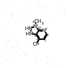 CN1NNc2c(Cl)ccnc21